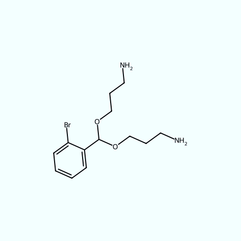 NCCCOC(OCCCN)c1ccccc1Br